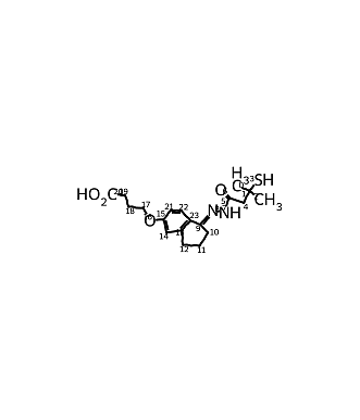 CC(C)(S)CC(=O)NN=C1CCCc2cc(OCCCC(=O)O)ccc21